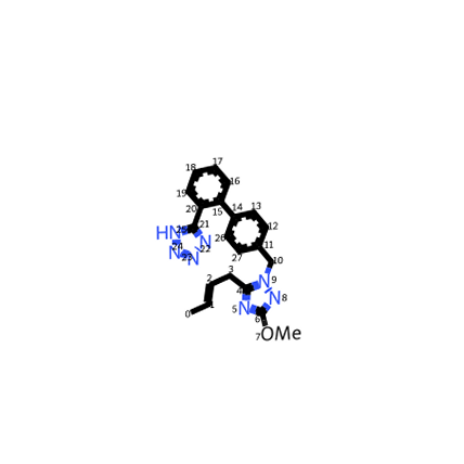 C/C=C/Cc1nc(OC)nn1Cc1ccc(-c2ccccc2-c2nnn[nH]2)cc1